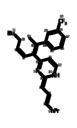 CCC/C=C/C=C1N=C(C(/C=C\CC(C)CC)=C(/C)c2cccc(C(F)(F)F)c2)C=CN/1